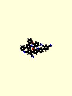 N#Cc1ccc(-c2ccc3c4ccc(-c5ccc(C#N)cc5C#N)cc4n(-c4cccc5c4C(=O)N(c4ccc(-c6ccccc6)cc4-c4ccccc4)C5=O)c3c2)c(C#N)c1